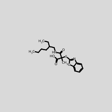 CCCCC(CC)CNC(=O)C(C)(Sc1nc2ccccc2o1)C(=O)O